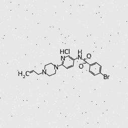 C=CCN1CCN(c2ccc(NS(=O)(=O)c3ccc(Br)cc3)cn2)CC1.Cl